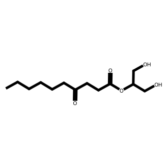 CCCCCCC(=O)CCC(=O)OC(CO)CO